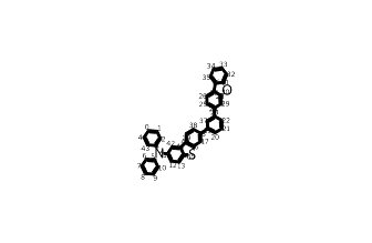 c1ccc(N(c2ccccc2)c2ccc3sc4cc(-c5cccc(-c6ccc7c(c6)oc6ccccc67)c5)ccc4c3c2)cc1